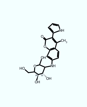 Cc1c(-c2ccc[nH]2)c(=O)oc2cc(NC3C(O)OC(CO)[C@H](O)[C@H]3O)ccc12